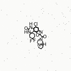 O=C1Nc2c(Cl)cc3nc(C(=O)N4CCN5CCC[C@H]5C4)oc3c2C2(CCC(F)(F)CC2)N1